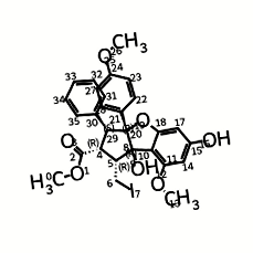 COC(=O)[C@H]1[C@@H](CI)[C@@]2(O)c3c(OC)cc(O)cc3O[C@@]2(c2ccc(OC)cc2)[C@@H]1c1ccccc1